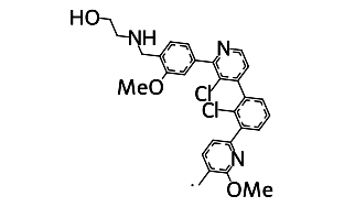 [CH2]c1ccc(-c2cccc(-c3ccnc(-c4ccc(CNCCO)c(OC)c4)c3Cl)c2Cl)nc1OC